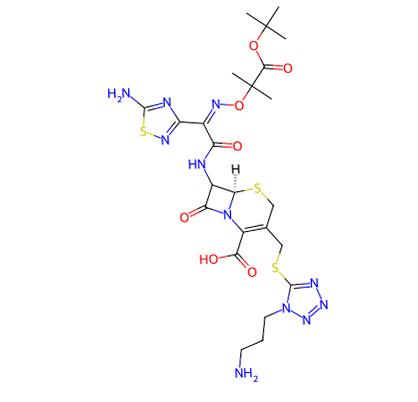 CC(C)(C)OC(=O)C(C)(C)O/N=C(\C(=O)NC1C(=O)N2C(C(=O)O)=C(CSc3nnnn3CCCN)CS[C@H]12)c1nsc(N)n1